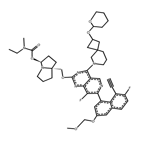 C#Cc1c(F)ccc2cc(OCOC)cc(-c3ncc4c(N5CCCC6(CC(OC7CCCCO7)C6)C5)nc(OC[C@]56CCCN5[C@@H](OC(=O)N(C)CC)CC6)nc4c3F)c12